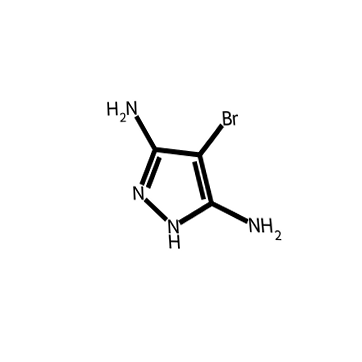 Nc1n[nH]c(N)c1Br